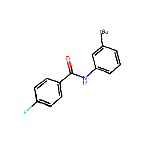 CC(C)(C)c1cccc(NC(=O)c2ccc(F)cc2)c1